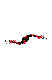 C=CC(=O)OCC(O)COCCCCOc1ccc(-c2ccc(C(=O)Oc3ccc4ccccc4c3-c3c(OC(=O)c4ccc(-c5ccc(OCCCCOCC(O)COC(=O)C=C)cc5)cc4)ccc4ccccc34)cc2)cc1